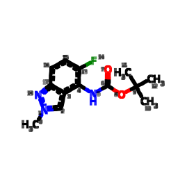 Cn1cc2c(NC(=O)OC(C)(C)C)c(F)ccc2n1